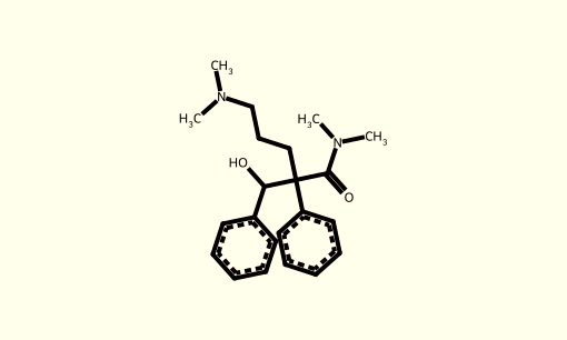 CN(C)CCCC(C(=O)N(C)C)(c1ccccc1)C(O)c1ccccc1